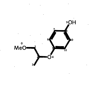 COCC(C)Oc1ccc(O)cc1